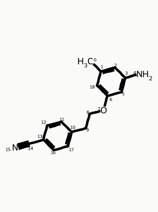 Cc1cc(N)cc(OCCc2ccc(C#N)cc2)c1